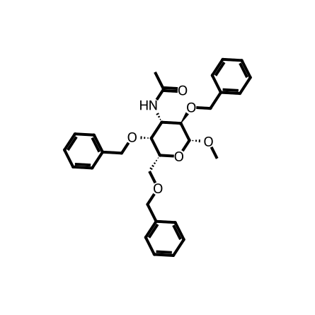 CO[C@@H]1O[C@H](COCc2ccccc2)[C@H](OCc2ccccc2)[C@H](NC(C)=O)[C@H]1OCc1ccccc1